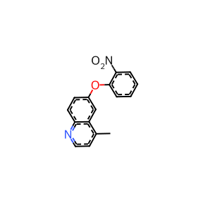 Cc1ccnc2ccc(Oc3ccccc3[N+](=O)[O-])cc12